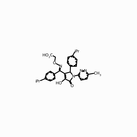 Cc1ccc(N2C(=O)C(O)=C(C(=NOCC(=O)O)c3ccc(C(C)C)cc3)C2c2ccc(C(C)C)cc2)nn1